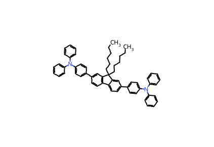 CCCCCCC1(CCCCCC)c2cc(-c3ccc(N(c4ccccc4)c4ccccc4)cc3)ccc2-c2ccc(-c3ccc(N(c4ccccc4)c4ccccc4)cc3)cc21